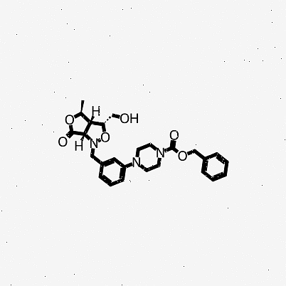 C[C@@H]1OC(=O)[C@@H]2[C@H]1[C@H](CO)ON2Cc1cccc(N2CCN(C(=O)OCc3ccccc3)CC2)c1